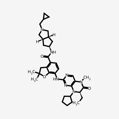 CC[C@@H]1C(=O)N(C)c2cnc(Nc3ccc(C(=O)N[C@H]4C[C@@H]5CN(CC6CC6)C[C@@H]5C4)c4c3OC(C)(C)C4)nc2N1C1CCCC1